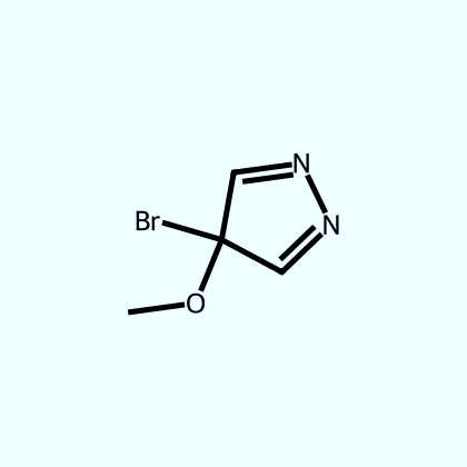 COC1(Br)C=NN=C1